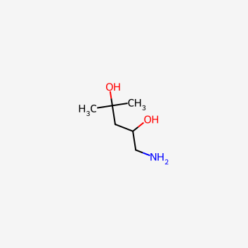 CC(C)(O)CC(O)CN